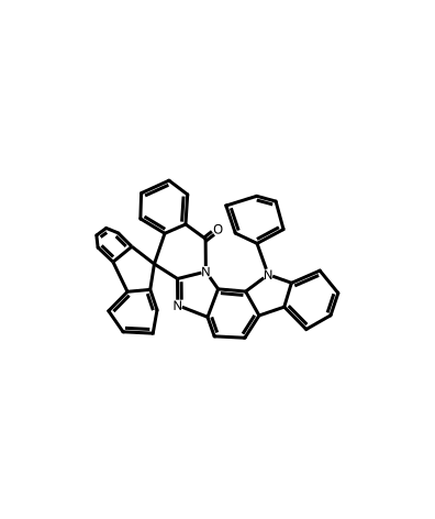 O=C1c2ccccc2C2(c3ccccc3-c3ccccc32)c2nc3ccc4c5ccccc5n(-c5ccccc5)c4c3n21